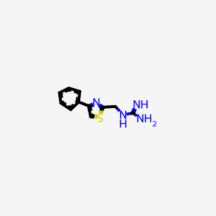 N=C(N)NCc1nc(-c2ccccc2)cs1